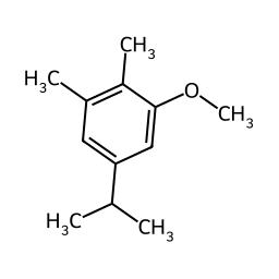 COc1cc(C(C)C)cc(C)c1C